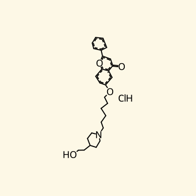 Cl.O=c1cc(-c2ccccc2)oc2ccc(OCCCCCCN3CCC(CCO)CC3)cc12